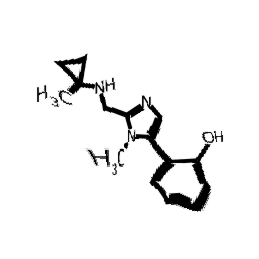 Cn1c(-c2ccccc2O)cnc1CNC1(C)CC1